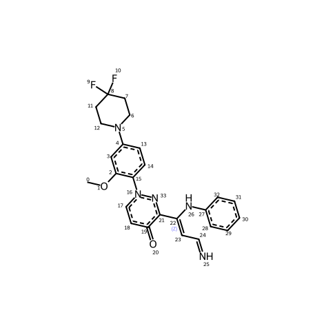 COc1cc(N2CCC(F)(F)CC2)ccc1-n1ccc(=O)c(/C(=C/C=N)Nc2ccccc2)n1